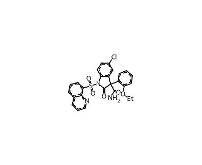 CCOc1ccccc1C1(C(N)=O)C(=O)N(S(=O)(=O)c2cccc3cccnc23)c2ccc(Cl)cc21